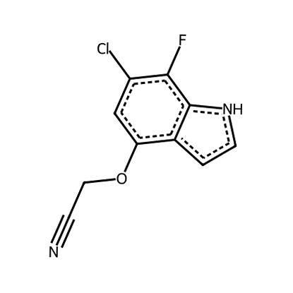 N#CCOc1cc(Cl)c(F)c2[nH]ccc12